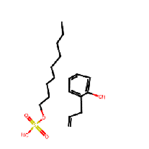 C=CCc1ccccc1O.CCCCCCCCCOS(=O)(=O)O